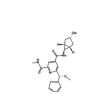 CNC(=O)c1cc(C(=O)N[C@H]2[C@@H]3C[C@H](O)C[C@@H]32)cc([C@H](OC)c2ccccc2)n1